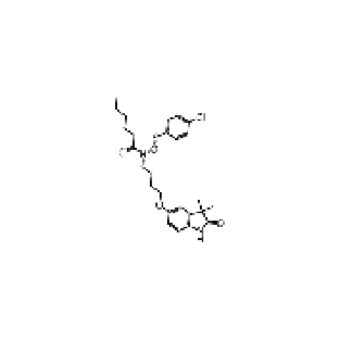 CCCCCC(=O)[N+](=CCCCOc1ccc2c(c1)C(C)(C)C(=O)N2)OSc1ccc(Cl)cc1